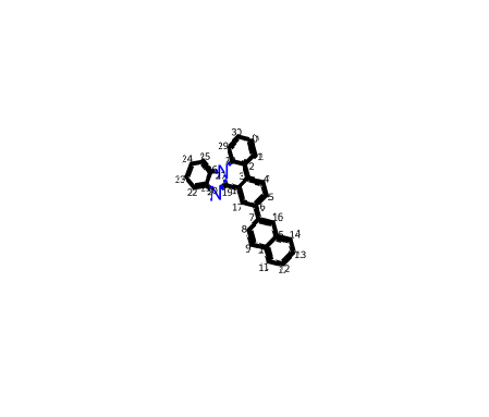 C1=CC2c3ccc(-c4ccc5ccccc5c4)cc3-c3nc4ccccc4n3C2C=C1